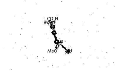 COCCOc1ccc(C#Cc2ccc(N3CCN(S(=O)(=O)N[C@@H](C(=O)O)C(C)C)CC3)cc2)cc1C(=O)NCCCCNS(C)(=O)=O